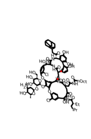 CCCCCCCCC(=O)NC(=O)C[C@@H]1CC(=O)[C@H](NC(=O)[C@H](CC)CC(C)C)[C@H](O)c2ccc(c(Cl)c2)Oc2cc3cc(c2O[C@@H]2O[C@H](CO)[C@@H](O)[C@H](O)[C@H]2O[C@H]2C[C@](C)(N)[C@H](O)[C@H](C)O2)Oc2ccc(cc2Cl)[C@@H](O)[C@@H]2NC(=O)[C@H](CC(=O)[C@@H]3NC1=O)c1ccc(O)c(c1)-c1c(O)cc(O)cc1[C@@H](C(=O)CC1C3CC4CC(C3)CC1C4)NC2=O